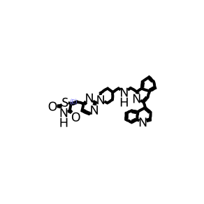 O=C1NC(=O)/C(=C\c2ccnc(N3CCC(CNCc4nc(-c5ccnc6ccccc56)cc5ccccc45)CC3)n2)S1